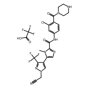 Cn1c(-c2cn(CC#N)nc2C(F)(F)F)cnc1C(=O)Nc1ccc(C(=O)N2CCNCC2)c(Cl)c1.O=C(O)C(F)(F)F